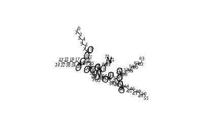 CCCCCCCCC(=O)OCC(COC(=O)CCCCCCCC)CC(=O)OC[C@@H]1CC[C@@H](COC(=O)CC(COC(=O)CCCCCCCC)COC(=O)CCCCCCCC)N1C(=O)OCCN(C)C